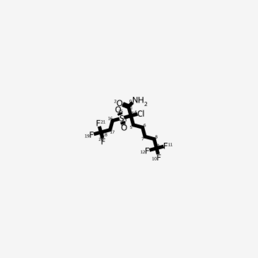 NC(=O)C(Cl)(CCCCC(F)(F)F)S(=O)(=O)CCC(F)(F)F